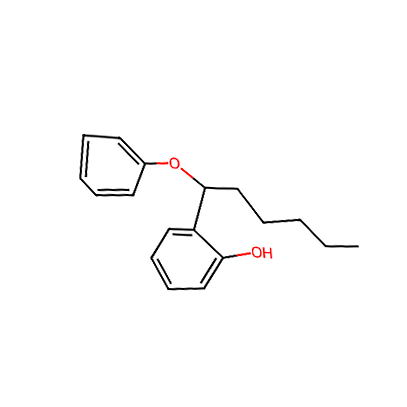 CCCCCC(Oc1ccccc1)c1ccccc1O